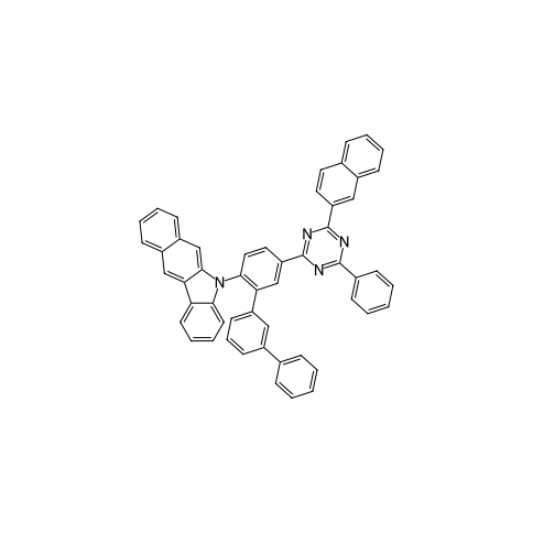 c1ccc(-c2cccc(-c3cc(-c4nc(-c5ccccc5)nc(-c5ccc6ccccc6c5)n4)ccc3-n3c4ccccc4c4cc5ccccc5cc43)c2)cc1